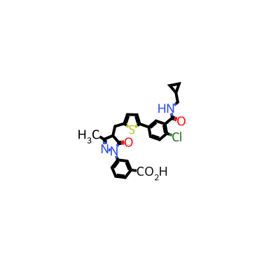 CC1=NN(c2cccc(C(=O)O)c2)C(=O)C1Cc1ccc(-c2ccc(Cl)c(C(=O)NCC3CC3)c2)s1